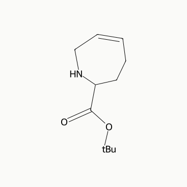 CC(C)(C)OC(=O)C1CCC=CCN1